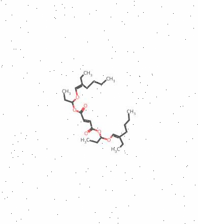 CCCCC(=COC(CC)OC(=O)C=CC(=O)OC(CC)OC=C(CC)CCCC)CC